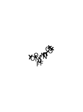 CC(C)(C)OC(=O)N1CC(F)(F)CC1Cn1cc(C2OC(C)(C)C(C)(C)O2)cn1